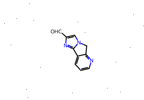 O=Cc1cn2c(n1)-c1cccnc1C2